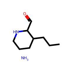 CCCC1CCCNC1C=O.N